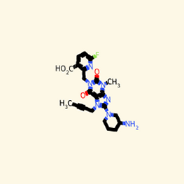 CC#CCn1c(N2CCCC(N)C2)nc2c1c(=O)n(Cc1nc(F)ccc1C(=O)O)c(=O)n2C